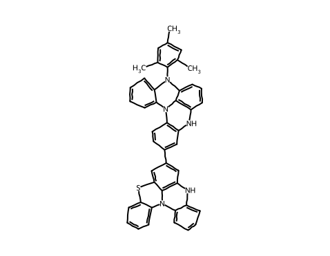 Cc1cc(C)c(N2c3ccccc3N3c4ccc(-c5cc6c7c(c5)Sc5ccccc5N7c5ccccc5N6)cc4Nc4cccc2c43)c(C)c1